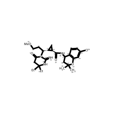 CCC1(CC)CC(=O)N(C(CCOC)[C@@H]2C[C@H]2C(=O)NC2CC(C)(C)Oc3cc(Cl)ccc32)C(=N)N1